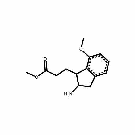 COC(=O)CCC1c2c(cccc2OC)CC1N